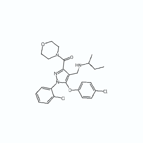 CCC(C)NCc1c(C(=O)N2CCOCC2)nn(-c2ccccc2Cl)c1Oc1ccc(Cl)cc1